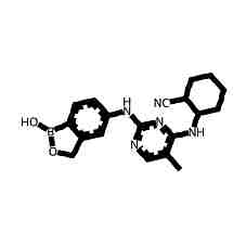 Cc1cnc(Nc2ccc3c(c2)COB3O)nc1NC1CCCCC1C#N